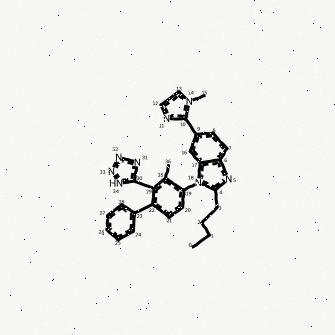 CCCCc1nc2ccc(-c3nccn3C)cc2n1-c1ccc(-c2ccccc2)c(-c2nnn[nH]2)c1C